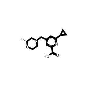 C[C@@H]1CN(Cc2cc(C(=O)O)nc(C3CC3)c2)CCO1